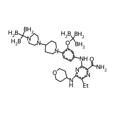 BC(B)(B)Oc1cc(Nc2nc(NC3CCOCC3)c(CC)nc2C(N)=O)ccc1N1CCC(N2CCN(C(B)(B)B)CC2)CC1